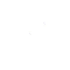 CN1CCC(N2CCCc3ccccc32)CC1